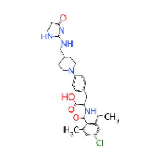 CCc1cc(Cl)cc(C)c1C(=O)NC(Cc1ccc(N2CCC(CNC3=NC(=O)CCN3)CC2)cc1)C(=O)O